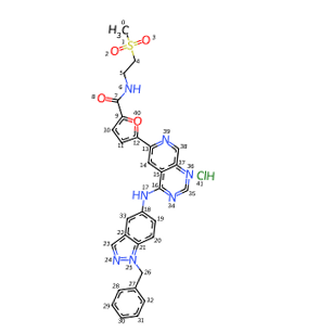 CS(=O)(=O)CCNC(=O)c1ccc(-c2cc3c(Nc4ccc5c(cnn5Cc5ccccc5)c4)ncnc3cn2)o1.Cl